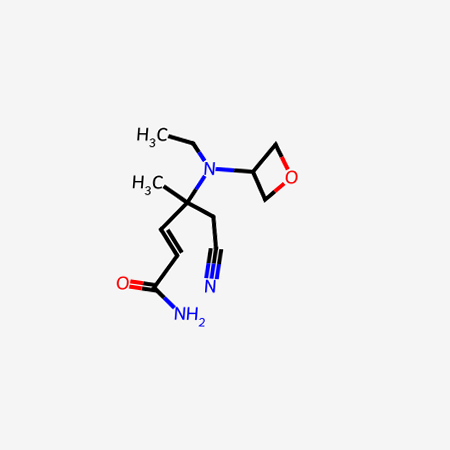 CCN(C1COC1)C(C)(C=CC(N)=O)CC#N